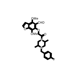 COc1c(C=O)c(OCC(=O)N2CC(C)N(Cc3ccc(F)cc3)CC2C)c(OC)c2occc12